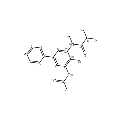 CC(=O)Oc1cc(-c2ccccc2)cc(N(C)C(=O)C(C)C)c1C